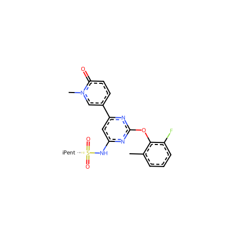 CCC[C@@H](C)S(=O)(=O)Nc1cc(-c2ccc(=O)n(C)c2)nc(Oc2c(C)cccc2F)n1